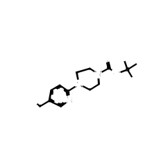 CC(C)(C)OC(=O)N1CCN(c2ccc(CO)cn2)CC1